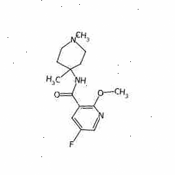 COc1ncc(F)cc1C(=O)NC1(C)CCN(C)CC1